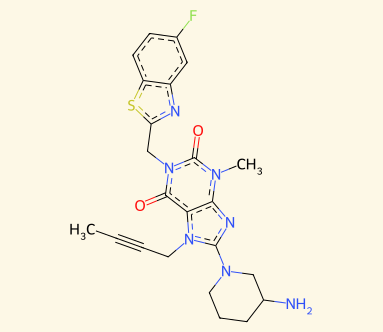 CC#CCn1c(N2CCCC(N)C2)nc2c1c(=O)n(Cc1nc3cc(F)ccc3s1)c(=O)n2C